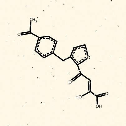 CC(=O)c1ccc(Cc2ccoc2C(=O)C=C(O)C(=O)O)cc1